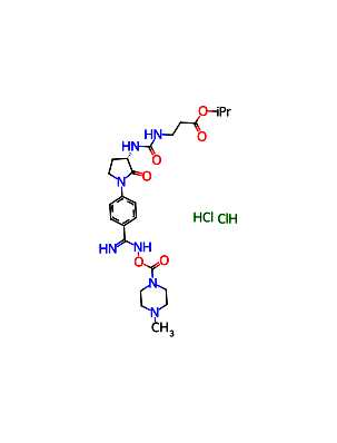 CC(C)OC(=O)CCNC(=O)N[C@H]1CCN(c2ccc(C(=N)NOC(=O)N3CCN(C)CC3)cc2)C1=O.Cl.Cl